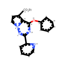 CCOC(=O)c1ccn2nc(-c3ccccn3)nc(Oc3ccccc3)c12